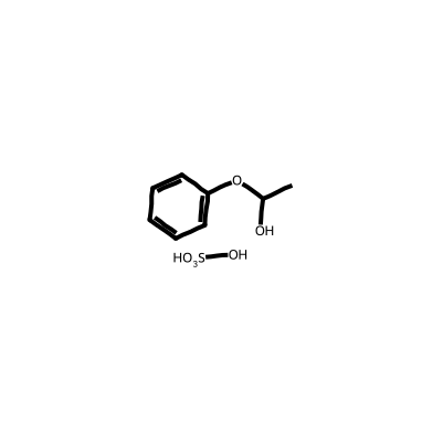 CC(O)Oc1ccccc1.O=S(=O)(O)O